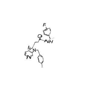 Cc1ccc(Cn2c(CCC(=O)N[C@@H](C)c3ccc(F)cc3)nc3ccncc32)cc1